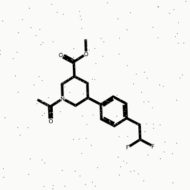 COC(=O)C1CC(c2ccc(CC(F)F)cc2)CN(C(C)=O)C1